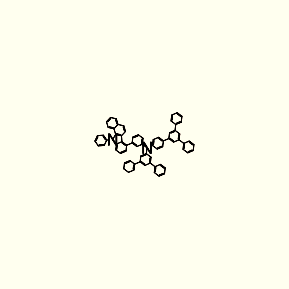 C1=CC(c2cc(-c3ccccc3)cc(N(c3ccc(-c4cc(-c5ccccc5)cc(-c5ccccc5)c4)cc3)c3cccc(-c4cccc5c4c4ccc6ccccc6c4n5-c4ccccc4)c3)c2)=CCC1